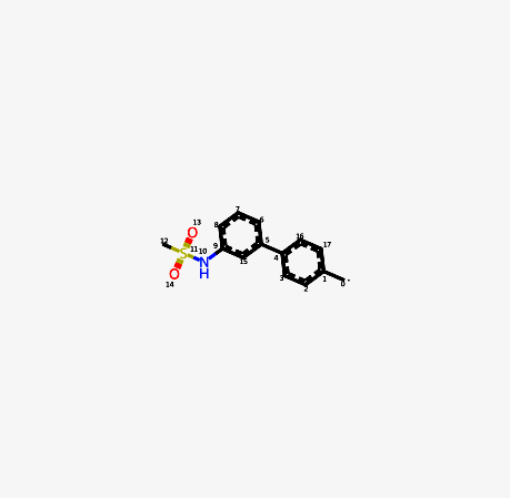 [CH2]c1ccc(-c2cccc(NS(C)(=O)=O)c2)cc1